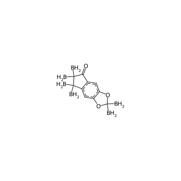 BC1(B)Oc2cc3c(cc2O1)C(B)(B)C(B)(B)C3=O